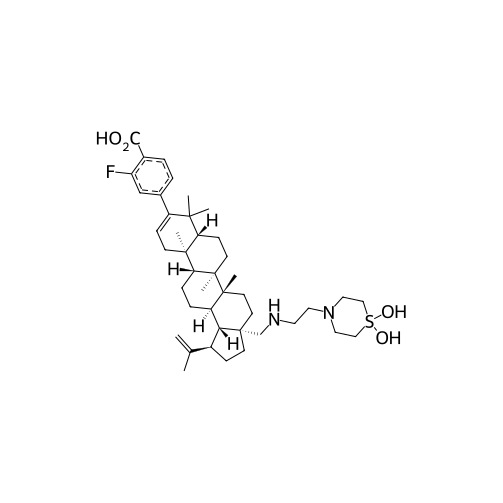 C=C(C)[C@@H]1CC[C@]2(CNCCN3CCS(O)(O)CC3)CC[C@]3(C)[C@H](CC[C@@H]4[C@@]5(C)CC=C(c6ccc(C(=O)O)c(F)c6)C(C)(C)[C@@H]5CC[C@]43C)[C@@H]12